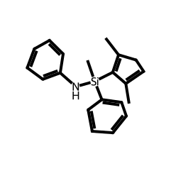 CC1=CCC(C)=C1[Si](C)(Nc1ccccc1)c1ccccc1